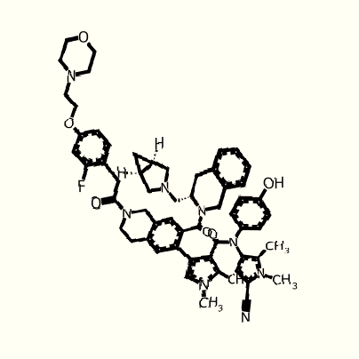 Cc1c(C(=O)N(c2ccc(O)cc2)c2cc(C#N)n(C)c2C)c(-c2cc3c(cc2C(=O)N2Cc4ccccc4C[C@H]2CN2C[C@H]4C[C@H]4C2)CN(C(=O)Cc2ccc(OCCN4CCOCC4)cc2F)CC3)cn1C